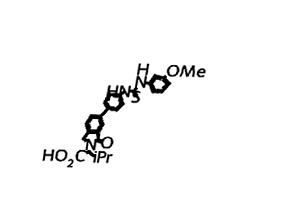 COc1cccc(NC(=S)Nc2ccc(-c3ccc4c(c3)C(=O)N(C(C(=O)O)C(C)C)C4)cc2)c1